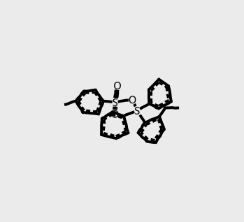 CCc1ccccc1S(OS(=O)(=O)c1ccc(C)cc1)(c1ccccc1)c1ccccc1